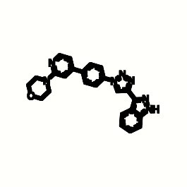 c1ccc2c(-c3cn(-c4ccc(-c5ccnc(N6CCOCC6)c5)cc4)nn3)n[nH]c2c1